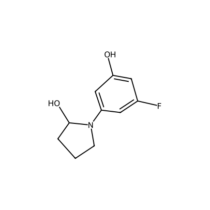 Oc1cc(F)cc(N2CCCC2O)c1